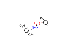 CC(=O)Oc1ccc([N+](=O)[O-])cc1/C=N/NC(=O)COc1cc(C)ccc1C(C)C